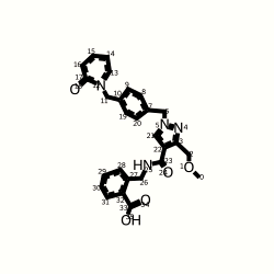 COCc1nn(Cc2ccc(Cn3ccccc3=O)cc2)cc1C(=O)NCc1ccccc1C(=O)O